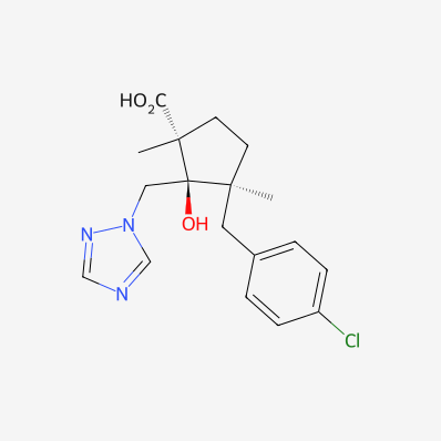 C[C@@]1(Cc2ccc(Cl)cc2)CC[C@@](C)(C(=O)O)[C@@]1(O)Cn1cncn1